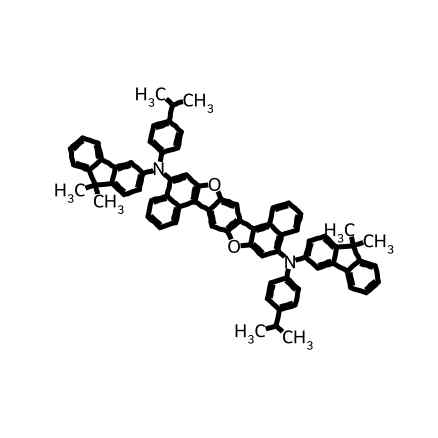 CC(C)c1ccc(N(c2ccc3c(c2)-c2ccccc2C3(C)C)c2cc3oc4cc5c(cc4c3c3ccccc23)oc2cc(N(c3ccc(C(C)C)cc3)c3ccc4c(c3)-c3ccccc3C4(C)C)c3ccccc3c25)cc1